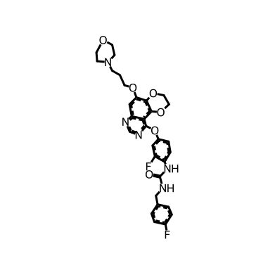 O=C(NCc1ccc(F)cc1)Nc1ccc(Oc2ncnc3cc(OCCCN4CCOCC4)c4c(c23)OCCO4)cc1F